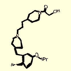 CC(C)Oc1ccc(Br)c(CC2CCN(CCCC3CCN(C(=O)CO)CC3)CC2)c1